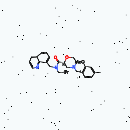 COc1cc(C)ccc1CN1CCO[C@@H](C(=O)N(Cc2cccc3cccnc23)CC(C)C)C1